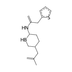 C=C(C)CC1CBC(NC(=C)Cc2cccs2)CC1